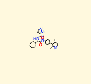 Cc1ccnc(C)c1-c1ccc(NC(=O)C(NC(=O)c2ccnn2C)C2CCCCCC2)cc1